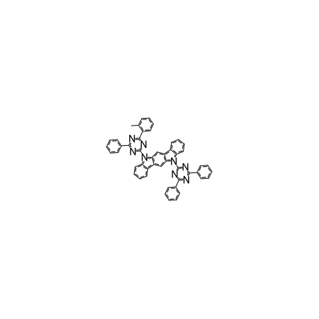 Cc1ccccc1-c1nc(-c2ccccc2)nc(-n2c3ccccc3c3cc4c(cc32)c2ccccc2n4-c2nc(-c3ccccc3)nc(-c3ccccc3)n2)n1